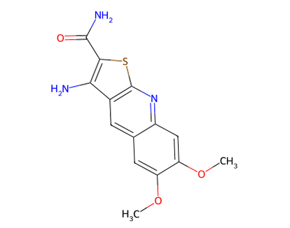 COc1cc2cc3c(N)c(C(N)=O)sc3nc2cc1OC